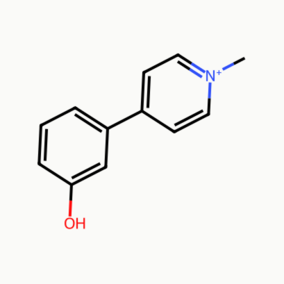 C[n+]1ccc(-c2cccc(O)c2)cc1